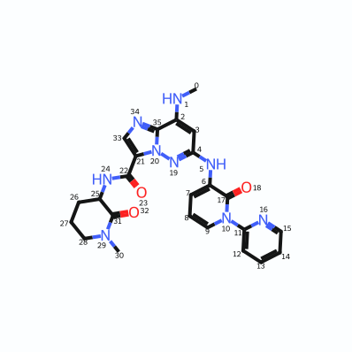 CNc1cc(Nc2cccn(-c3ccccn3)c2=O)nn2c(C(=O)NC3CCCN(C)C3=O)cnc12